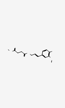 COC(=O)CCC(=O)OC/C=C/c1ccc(O)c(OC)c1